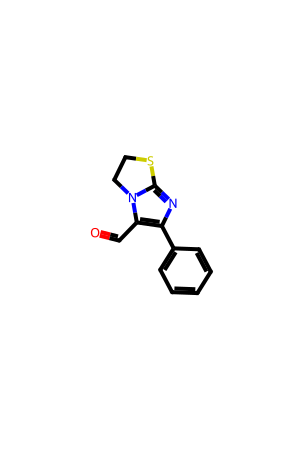 O=Cc1c(-c2ccccc2)nc2n1CCS2